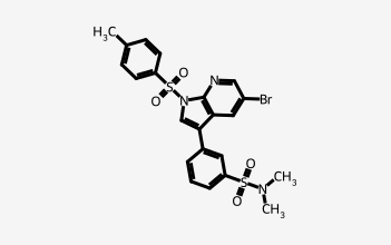 Cc1ccc(S(=O)(=O)n2cc(-c3cccc(S(=O)(=O)N(C)C)c3)c3cc(Br)cnc32)cc1